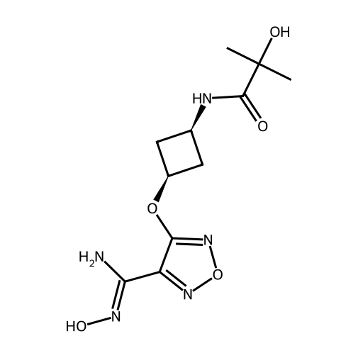 CC(C)(O)C(=O)N[C@H]1C[C@@H](Oc2nonc2/C(N)=N/O)C1